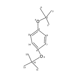 CC(C)(C)Oc1[c]cc(OC(C)(C)C)cc1